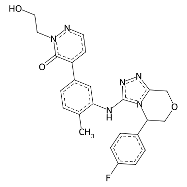 Cc1ccc(-c2ccnn(CCO)c2=O)cc1Nc1nnc2n1C(c1ccc(F)cc1)COC2